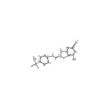 CCc1cc(=O)nc2n1C[C@@H](COc1ccc(C(C)(C)CC)cc1)O2